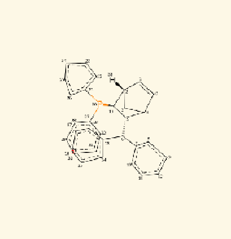 C1=C[C@@H]2CC1[C@H](C(c1ccccc1)c1ccccc1)[C@H]2P(c1ccccc1)c1ccccc1